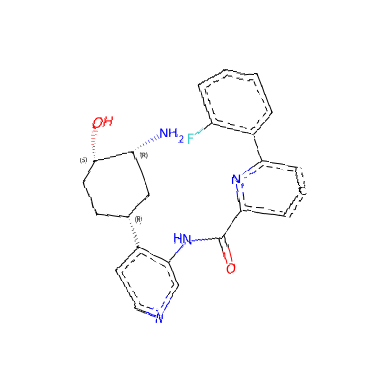 N[C@@H]1C[C@H](c2ccncc2NC(=O)c2cccc(-c3ccccc3F)n2)CC[C@@H]1O